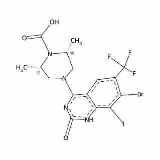 C[C@@H]1CN(c2nc(=O)[nH]c3c(I)c(Br)c(C(F)(F)F)cc23)C[C@H](C)N1C(=O)O